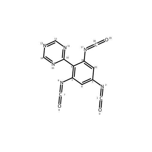 O=C=Nc1cc(N=C=O)c(-c2ncncn2)c(N=C=O)c1